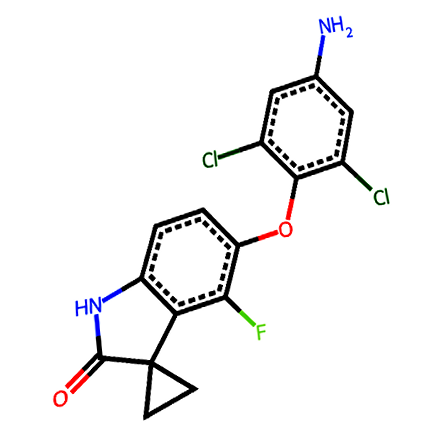 Nc1cc(Cl)c(Oc2ccc3c(c2F)C2(CC2)C(=O)N3)c(Cl)c1